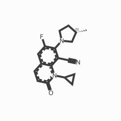 C[C@H]1CCN(c2c(F)cc3ccc(=O)n(C4CC4)c3c2C#N)C1